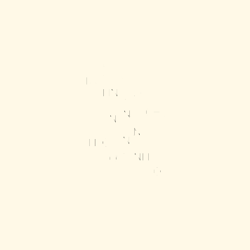 CC1=NN(C(=O)Nc2ccccc2O)C(C)=NN1C(=O)Nc1ccccc1O